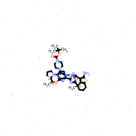 C[C@H](Oc1nc(-c2noc([C@@]3(C)CCCc4sc(N)c(C#N)c43)n2)cc(N2CCN(C(=O)OC(C)(C)C)CC2)n1)[C@@H]1CCCN1C1CCN(C)CC1